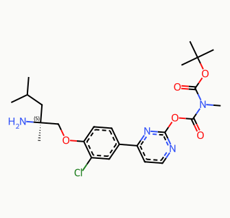 CC(C)C[C@](C)(N)COc1ccc(-c2ccnc(OC(=O)N(C)C(=O)OC(C)(C)C)n2)cc1Cl